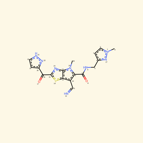 Cn1ccc(CNC(=O)c2c(C=N)c3sc(C(=O)c4cc[nH]n4)nc3n2C)n1